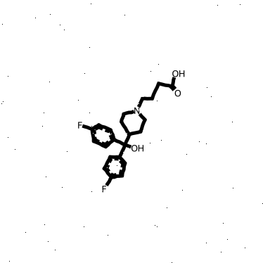 O=C(O)CCCN1CCC(C(O)(c2ccc(F)cc2)c2ccc(F)cc2)CC1